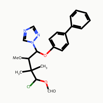 COC(C(Oc1ccc(-c2ccccc2)cc1)n1cncn1)C(C)(C)C(Cl)OC=O